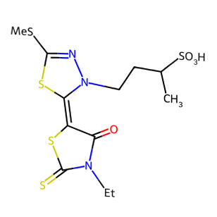 CCN1C(=O)C(=C2SC(SC)=NN2CCC(C)S(=O)(=O)O)SC1=S